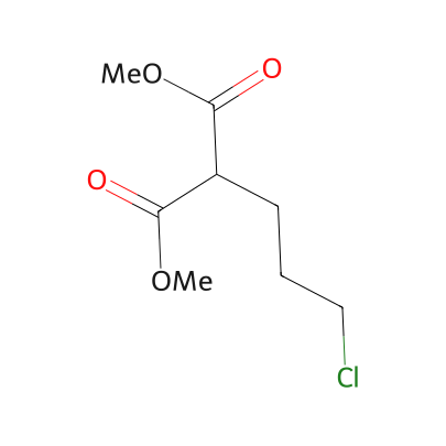 COC(=O)C(CCCCl)C(=O)OC